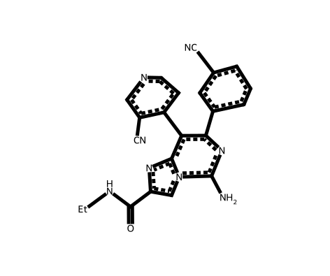 CCNC(=O)c1cn2c(N)nc(-c3cccc(C#N)c3)c(-c3ccncc3C#N)c2n1